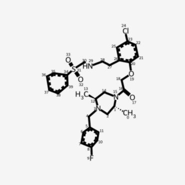 C[C@@H]1CN(Cc2ccc(F)cc2)[C@@H](C)CN1C(=O)COc1ccc(Cl)cc1CCNCS(=O)(=O)c1ccccc1